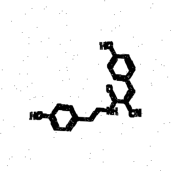 N#CC(=Cc1ccc(O)cc1)C(=O)NCCc1ccc(O)cc1